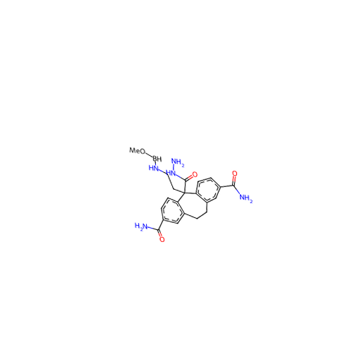 COBNCCC1(C(=O)NN)c2ccc(C(N)=O)cc2CCc2cc(C(N)=O)ccc21